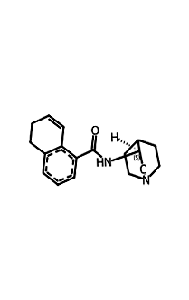 O=C(N[C@@H]1CN2CCC1CC2)c1cccc2c1C=CCC2